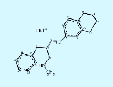 CNCC(COc1ccc2c(c1)CCCC2)Cc1ccccc1.Cl